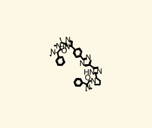 C[C@@H](c1ncc(-c2ccc(-c3ncc(-c4cnc(C5CCCN5C(=O)C(c5ccccc5)N(C)C)[nH]4)cn3)cc2)[nH]1)N(C)C(=O)[C@H](c1ccccc1)N(C)C